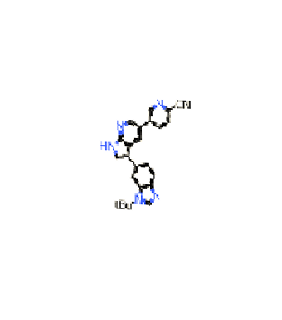 CC(C)(C)n1cnc2ccc(-c3c[nH]c4ncc(-c5ccc(C#N)nc5)cc34)cc21